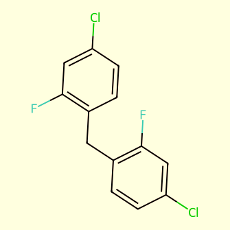 Fc1cc(Cl)ccc1Cc1ccc(Cl)cc1F